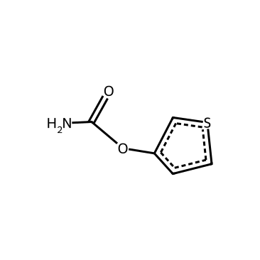 NC(=O)Oc1ccsc1